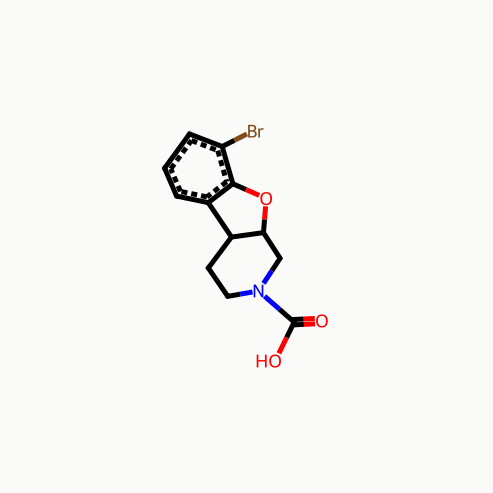 O=C(O)N1CCC2c3cccc(Br)c3OC2C1